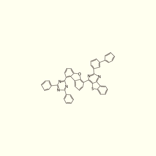 c1ccc(-c2cccc(-c3nc(-c4cccc5c4oc4cccc(-c6nc(-c7ccccc7)nc(-c7ccccc7)n6)c45)c4sc5ccccc5c4n3)c2)cc1